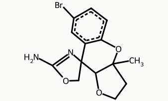 CC12CCOC1C1(COC(N)=N1)c1cc(Br)ccc1O2